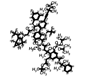 CC(C)OP(=O)(Oc1cc(C(=O)NC(C)(C)c2ccccc2)cc(CC(=O)OC(C)(C)C)c1C(C)(C)CC(=O)N(c1nn(CC(F)(F)F)c2c(-c3ccc(C#CC(C)(C)S(C)(=O)=O)nc3[C@H](Cc3cc(F)cc(F)c3)NC(=O)Cn3nc(C(F)(F)F)c4c3C(F)(F)[C@@H]3C[C@H]43)ccc(Cl)c12)S(C)(=O)=O)OC(C)C